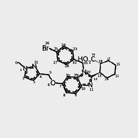 Cn1ccc(COc2ccc3nc([C@@H]4CCCC[C@H]4C(=O)O)n(Cc4ccc(Br)cc4)c3c2)n1